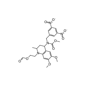 COC(=O)N(Cc1cc([N+](=O)[O-])cc([N+](=O)[O-])c1)C1CC(C)N(CCOC=O)c2cc(OC)c(OC)cc21